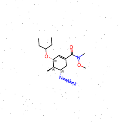 CCC(CC)O[C@@H]1C=C(C(=O)N(C)OC)C[C@H](N=[N+]=[N-])[C@H]1C